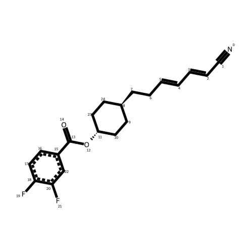 N#C/C=C/C=C/CC[C@H]1CC[C@H](OC(=O)c2ccc(F)c(F)c2)CC1